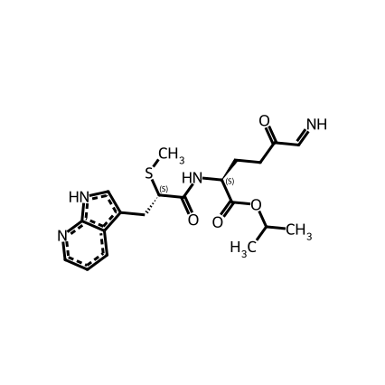 CS[C@@H](Cc1c[nH]c2ncccc12)C(=O)N[C@@H](CCC(=O)C=N)C(=O)OC(C)C